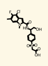 Cc1cc2c(cc(C(=O)NC(CO)c3ccc(S(=O)(=O)CC(=O)O)cc3)n2C)c(Cl)c1F